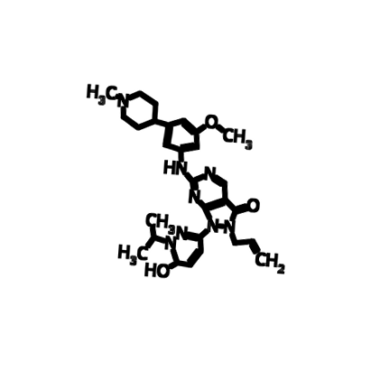 C=CCn1c(=O)c2cnc(Nc3cc(OC)cc(C4CCN(C)CC4)c3)nc2n1C1=NN(C(C)C)C(O)C=C1